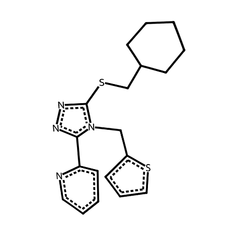 c1ccc(-c2nnc(SCC3CCCCC3)n2Cc2cccs2)nc1